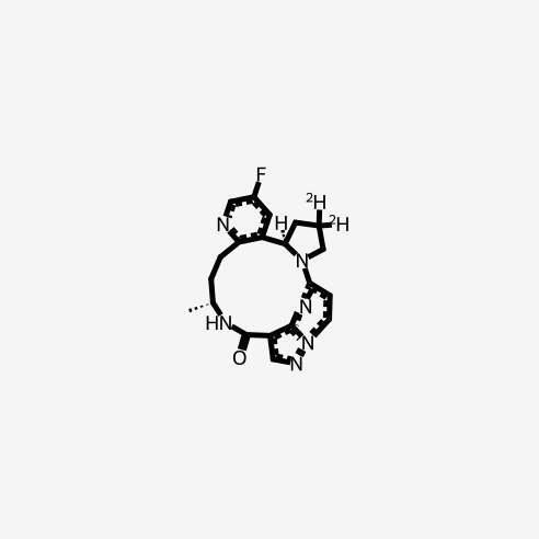 [2H]C1([2H])C[C@@H]2c3cc(F)cnc3CC[C@@H](C)NC(=O)c3cnn4ccc(nc34)N2C1